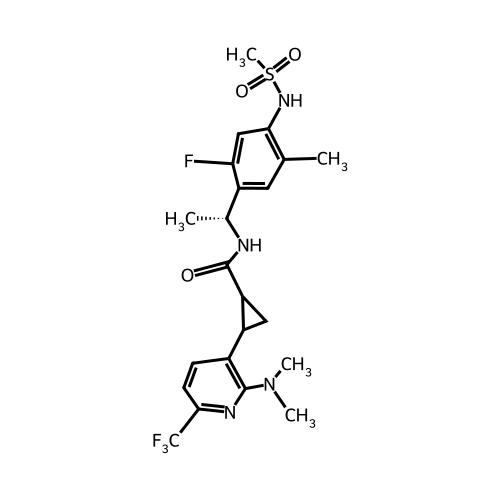 Cc1cc([C@@H](C)NC(=O)C2CC2c2ccc(C(F)(F)F)nc2N(C)C)c(F)cc1NS(C)(=O)=O